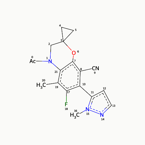 CC(=O)N1CC2(CC2)Oc2c(C#N)c(-c3ccnn3C)c(F)c(C)c21